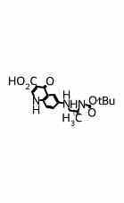 C[C@@H](CNc1ccc2[nH]cc(C(=O)O)c(=O)c2c1)NC(=O)OC(C)(C)C